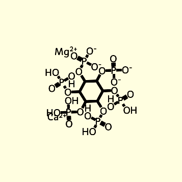 O=P([O-])([O-])OC1C(OP(=O)([O-])[O-])C(OP(=O)(O)O)C(OP(=O)(O)O)C(OP(=O)(O)O)C1OP(=O)(O)O.[Ca+2].[Mg+2]